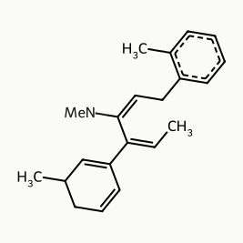 C/C=C(C1=CC(C)CC=C1)\C(=C/Cc1ccccc1C)NC